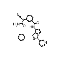 N#CN(C(N)=O)c1cccc(C(=O)Nc2ccn3c2CSC3c2cccnc2)c1.c1ccccc1